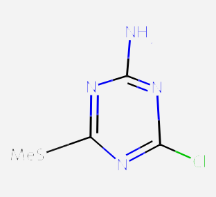 CSc1nc(N)nc(Cl)n1